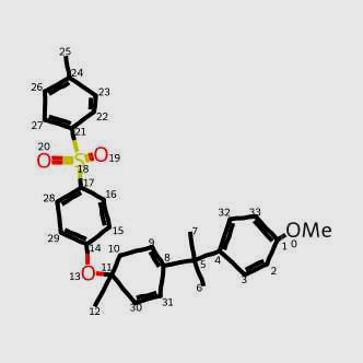 COc1ccc(C(C)(C)C2=CCC(C)(Oc3ccc(S(=O)(=O)c4ccc(C)cc4)cc3)C=C2)cc1